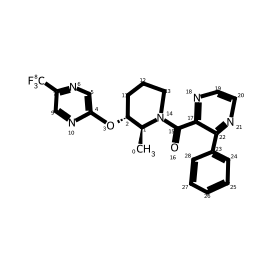 C[C@H]1[C@H](Oc2cnc(C(F)(F)F)cn2)CCCN1C(=O)c1nccnc1-c1ccccc1